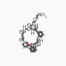 NCCOCCNC(=O)[C@@H]1CCNC(=O)/C=C/C(=O)N2CCC[C@](Cc3ccccc3)(C2)C(=O)N[C@@H](Cc2ccco2)C(=O)NCc2ccccc2CC(=O)N1